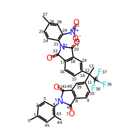 Cc1ccc(N2C(=O)c3ccc(C(C)(c4ccc5c(c4)C(=O)N(c4ccc(C)cc4[N+](=O)[O-])C5=O)C(F)(F)F)cc3C2=O)c(C)c1